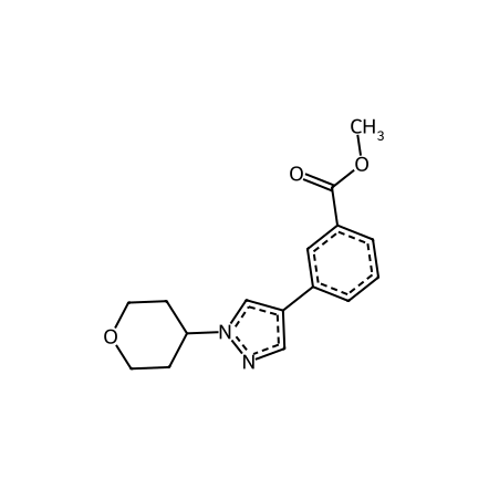 COC(=O)c1cccc(-c2cnn(C3CCOCC3)c2)c1